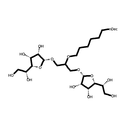 CCCCCCCCCCCCCCCCOC(CO[C@@H]1O[C@H]([C@H](O)CO)[C@H](O)[C@@H]1O)CO[C@@H]1O[C@H]([C@H](O)CO)[C@H](O)[C@@H]1O